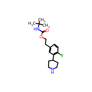 CC(C)(C)NC(=O)OCCc1ccc(F)c(C2CCNCC2)c1